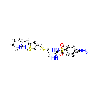 N=C(CCSCc1csc(CC2CCCCN2)c1)NS(=O)(=O)c1ccc(N)cc1